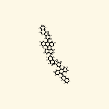 c1ccc2cc(-c3c4ccccc4c(-c4ccc5oc6c7cc(-c8cccc9c(-c%10c%11ccccc%11c(-c%11ccc%12oc%13c%14ccccc%14ccc%13c%12c%11)c%11ccccc%10%11)cccc89)ccc7ccc6c5c4)c4ccccc34)ccc2c1